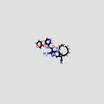 N#CCC1Cn2nc(N)c(C(=O)Nc3cnccc3OC3CCCOC3)c2NC12CCCCCCCCCC2